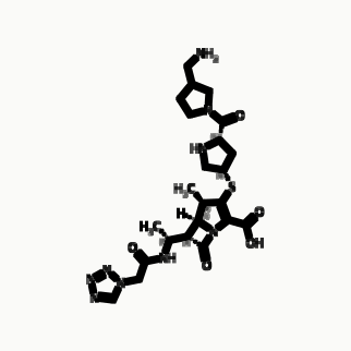 C[C@@H](NC(=O)Cn1cnnn1)[C@H]1C(=O)N2C(C(=O)O)=C(S[C@@H]3CN[C@H](C(=O)N4CCC(CN)C4)C3)[C@H](C)[C@H]12